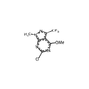 COc1nc(Cl)nc2c1c(C(F)(F)F)nn2C